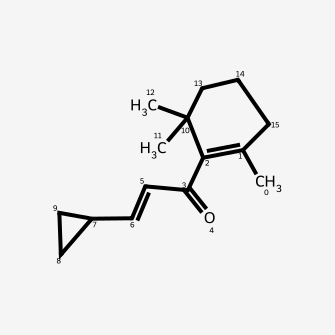 CC1=C(C(=O)C=CC2CC2)C(C)(C)CCC1